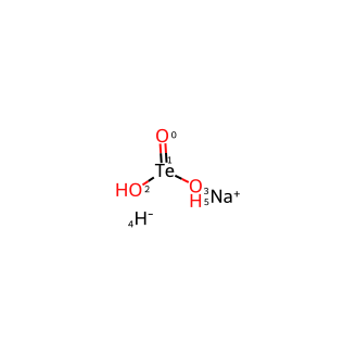 O=[Te](O)O.[H-].[Na+]